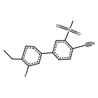 CCc1ccc(-c2ccc(C#N)c(S(C)(=O)=O)c2)cc1F